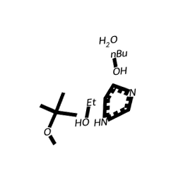 CCCCO.CCO.COC(C)(C)C.O.c1c[nH]cn1